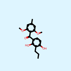 CCCc1c(O)ccc(C(=O)c2c(OC)cc(C)cc2OC)c1O